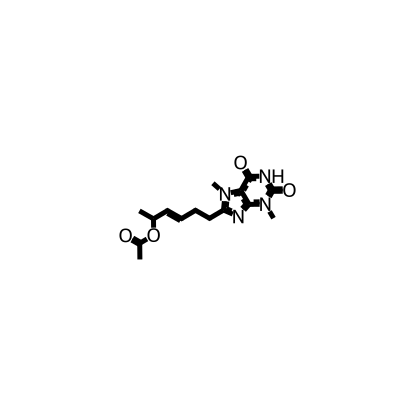 CC(=O)OC(C)C=CCCc1nc2c(c(=O)[nH]c(=O)n2C)n1C